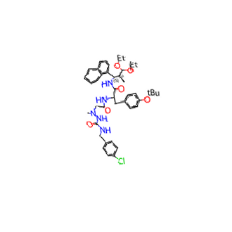 CCOC(OCC)[C@@H](C)[C@H](NC(=O)C(Cc1ccc(OC(C)(C)C)cc1)NC(=O)CN(C)NC(=O)NCc1ccc(Cl)cc1)c1cccc2ccccc12